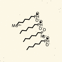 CCCCCC[PH](=O)[O-].CCCCCC[PH](=O)[O-].CCCCCC[PH](=O)[O-].CCCCCC[PH](=O)[O-].[Mo+4]